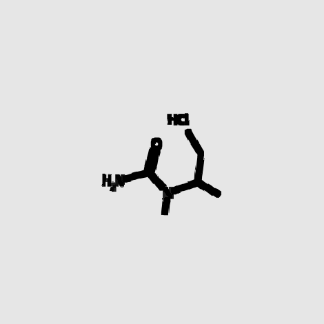 CCC(C)N(C)C(N)=O.Cl